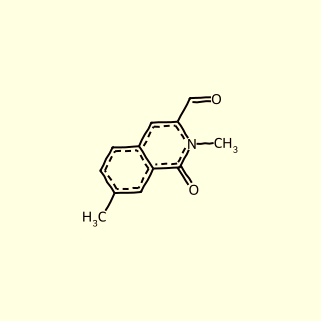 Cc1ccc2cc(C=O)n(C)c(=O)c2c1